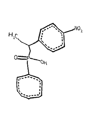 CC(c1ccc([N+](=O)[O-])cc1)P(=O)(O)c1ccccc1